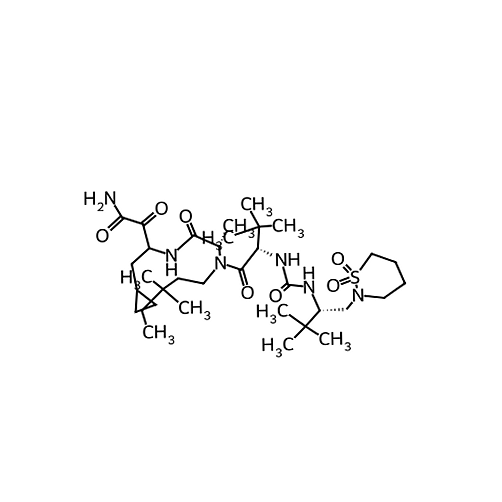 CCC(C)(C)CCN(C(=O)[C@@H](NC(=O)N[C@H](CN1CCCCS1(=O)=O)C(C)(C)C)C(C)(C)C)[C@@H](C)C(=O)NC(CC1CC1)C(=O)C(N)=O